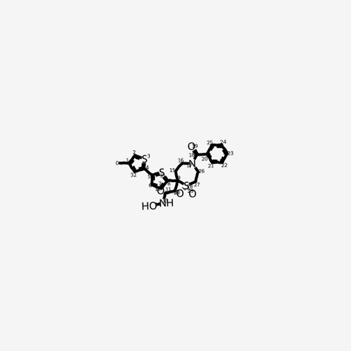 Cc1csc(-c2ccc(C3(CC(=O)NO)CCN(C(=O)c4ccccc4)CCS3(=O)=O)s2)c1